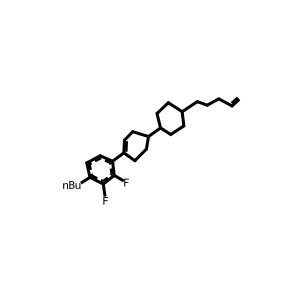 C=CCCCC1CCC(C2CC=C(c3ccc(CCCC)c(F)c3F)CC2)CC1